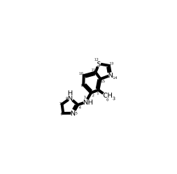 Cc1c(NC2=NCCN2)ccc2scnc12